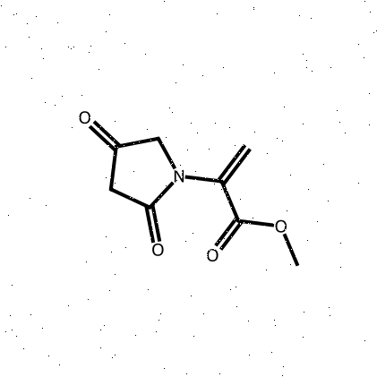 C=C(C(=O)OC)N1CC(=O)CC1=O